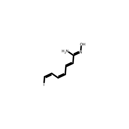 NC(/C=C/C=C\C=C/I)=N\O